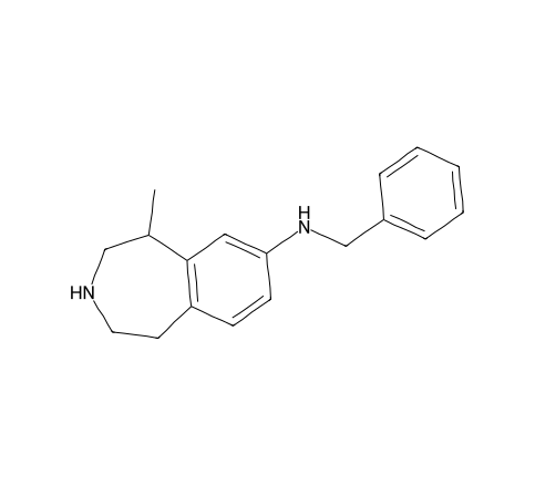 CC1CNCCc2ccc(NCc3ccccc3)cc21